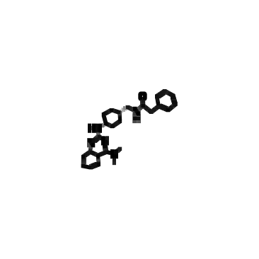 CN(C)C1=NC(N[C@H]2CC[C@@H](CNC(=O)Cc3ccccc3)CC2)=NC2C=CC=CC12